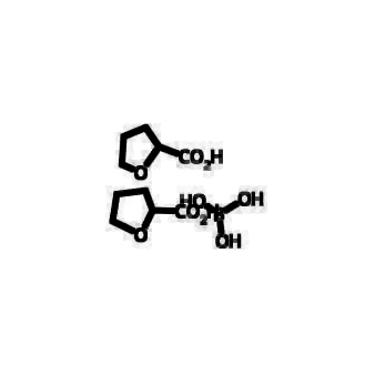 O=C(O)C1CCCO1.O=C(O)C1CCCO1.OB(O)O